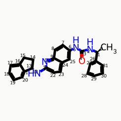 C[C@H](NC(=O)Nc1ccc2nc(N[C@@H]3CCc4ccccc43)ccc2c1)c1ccccc1